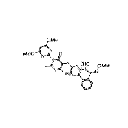 CCCCc1nc(C)n(-c2nc(OC)cc(OC)n2)c(=O)c1Cc1ccc(-c2ccccc2/C(=N/OC)NC=O)cn1